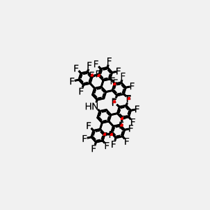 Fc1c(F)c(F)c(-c2cc(Nc3cc(-c4c(F)c(F)c(F)c(F)c4F)c(-c4c(F)c(F)c(F)c(F)c4F)c(-c4c(F)c(F)c(F)c(F)c4F)c3)cc(-c3c(F)c(F)c(F)c(F)c3F)c2-c2c(F)c(F)c(F)c(F)c2F)c(F)c1F